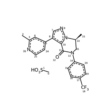 CS(=O)(=O)O.Cc1cc(-c2cnn3c2C(=O)N(c2ccc(C(F)(F)F)cc2)C[C@@H]3C)ccn1